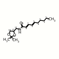 CCCCC/C=C/C=C/C(=O)NCC1COC(C)(C)O1